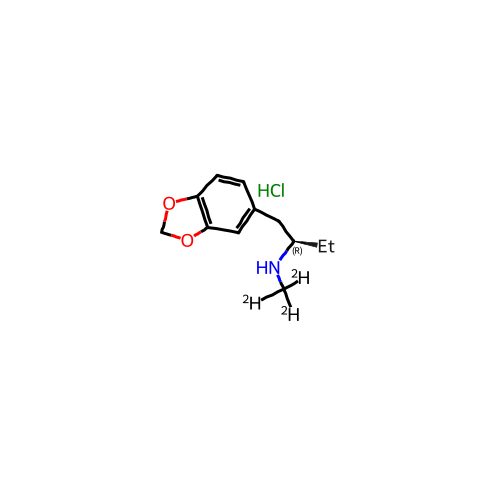 Cl.[2H]C([2H])([2H])N[C@H](CC)Cc1ccc2c(c1)OCO2